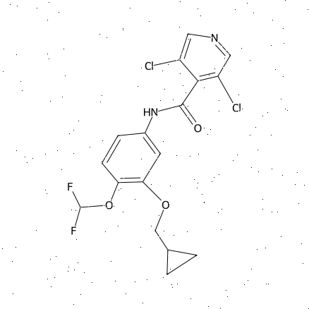 O=C(Nc1ccc(OC(F)F)c(OCC2CC2)c1)c1c(Cl)cncc1Cl